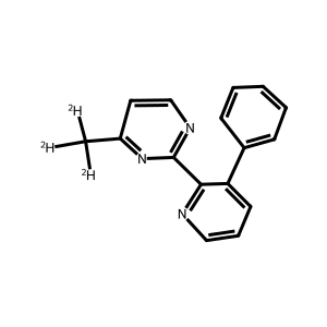 [2H]C([2H])([2H])c1ccnc(-c2ncccc2-c2ccccc2)n1